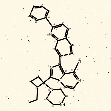 CCC1CCC1(c1nc(-c2ccc3ccc(-c4ccccc4)nc3c2)c2c(Cl)nccn12)N1CCNCC1